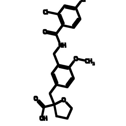 COc1ccc(CC2(C(=O)O)CCCO2)cc1CNC(=O)c1ccc(Cl)cc1Cl